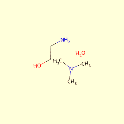 CN(C)C.NCCO.O